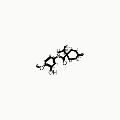 COc1ccc(NC(=O)C2(C(C)C)CCC(C)CC2)cc1O